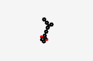 CC1(C)c2ccccc2C2(c3ccccc3-c3cc(-c4ccc(-c5ccc(N(c6ccccc6)c6ccc(-c7ccccc7)cc6)cc5)cc4)ccc32)c2ccccc21